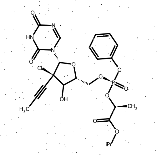 CC#C[C@@]1(Cl)C(O)[C@@H](CO[P@](=O)(Oc2ccccc2)O[C@@H](C)C(=O)OC(C)C)O[C@H]1n1cnc(=O)[nH]c1=O